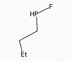 CCCCPF